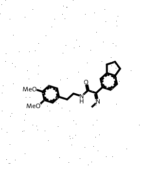 C/N=C(\C(=O)NCCc1ccc(OC)c(OC)c1)c1ccc2c(c1)CCC2